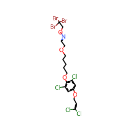 ClC(Cl)=CCOc1cc(Cl)c(OCCCCCOC/C=N/OCC(Br)(Br)Br)c(Cl)c1